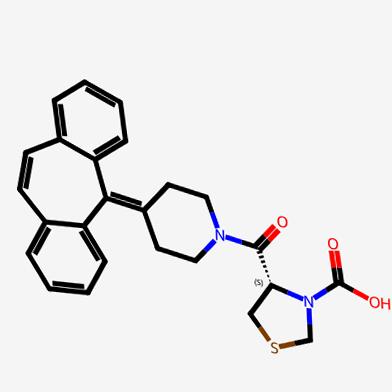 O=C([C@H]1CSCN1C(=O)O)N1CCC(=C2c3ccccc3C=Cc3ccccc32)CC1